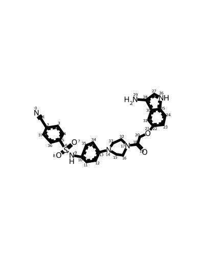 N#Cc1ccc(S(=O)(=O)Nc2ccc(N3CCN(C(=O)COc4ccc5[nH]cc(N)c5c4)CC3)cc2)cc1